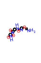 N[C@H]1C[C@@H](Oc2ccc(C(=O)Nc3ccc4c(c3)CN(C3CCC(=O)NC3=O)C4=O)nc2)C1